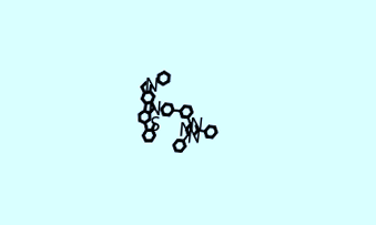 c1ccc(-c2nc(-c3ccccc3)nc(-c3cccc(-c4ccc(-n5c6cc7c(ccn7-c7ccccc7)cc6c6ccc7c8ccccc8sc7c65)cc4)c3)n2)cc1